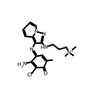 CC1=C/C(=N\c2c(NCCC[N+](C)(C)C)nn3ccccc23)C(N)=C(Cl)C1=O